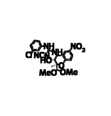 COC(OC)[C@]1(C)Oc2ccc([N+](=O)[O-])cc2[C@H](NC(=NC#N)Nc2cccc(Cl)c2)[C@H]1O